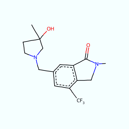 CN1Cc2c(cc(CN3CCC(C)(O)C3)cc2C(F)(F)F)C1=O